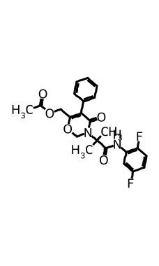 CC(=O)OCC1=C(c2ccccc2)C(=O)N(C(C)(C)C(=O)Nc2cc(F)ccc2F)CO1